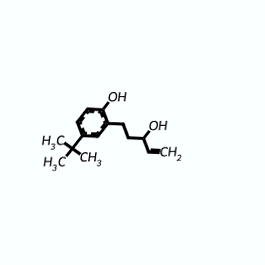 C=CC(O)CCc1cc(C(C)(C)C)ccc1O